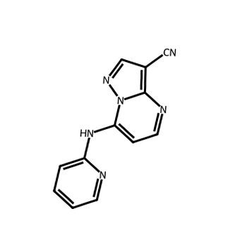 N#Cc1cnn2c(Nc3ccccn3)ccnc12